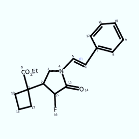 CCOC(=O)C1(C2CN(/C=C/c3ccccc3)C(=O)C2F)CCC1